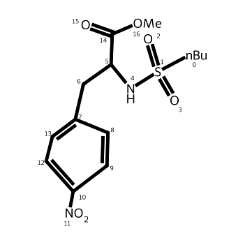 CCCCS(=O)(=O)NC(Cc1ccc([N+](=O)[O-])cc1)C(=O)OC